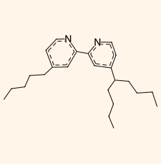 CCCCCc1ccnc(-c2cc(C(CCCC)CCCC)ccn2)c1